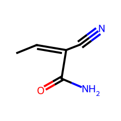 CC=C(C#N)C(N)=O